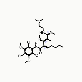 C=NC(=C(C)\C(=N/C)NCCN(C)C)/C(=C\CCCC)C(=O)Nc1c(Cl)c(OC)c(Br)c(OC)c1Cl